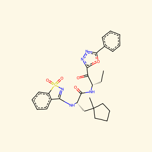 CC[C@H](NC(=O)[C@H](CC1(C)CCCC1)NC1=NS(=O)(=O)c2ccccc21)C(=O)c1nnc(-c2ccccc2)o1